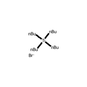 CCC[CH2][Ti]([CH2]CCC)([CH2]CCC)[CH2]CCC.[Br-]